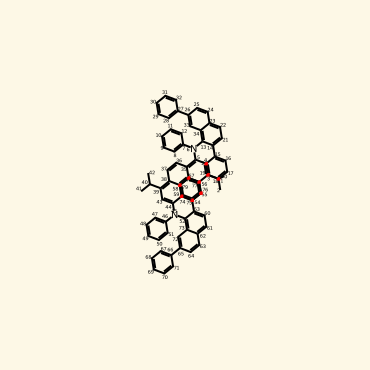 CC(C)c1cc(N(c2ccccc2)c2c(-c3ccccc3)ccc3ccc(-c4ccccc4)cc23)c2ccc3c(C(C)C)cc(N(c4ccccc4)c4c(-c5ccccc5)ccc5ccc(-c6ccccc6)cc45)c4ccc1c2c34